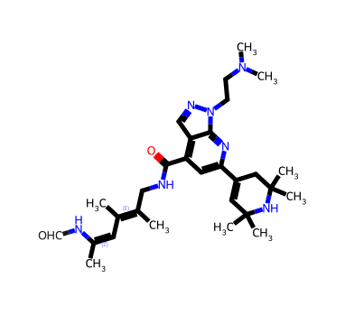 C/C(=C/C(C)=C(\C)CNC(=O)c1cc(C2=CC(C)(C)NC(C)(C)C2)nc2c1cnn2CCN(C)C)NC=O